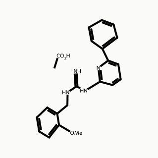 CC(=O)O.COc1ccccc1CNC(=N)Nc1cccc(-c2ccccc2)n1